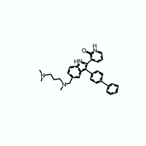 CN(C)CCCN(C)Cc1ccc2[nH]c(-c3ccc[nH]c3=O)c(-c3ccc(-c4ccccc4)cc3)c2c1